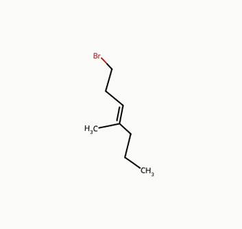 CCC/C(C)=C/CCBr